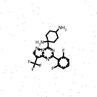 NC1CCC(N)(c2nc(-c3c(F)cccc3F)nc3c(C(F)(F)F)cnn23)CC1